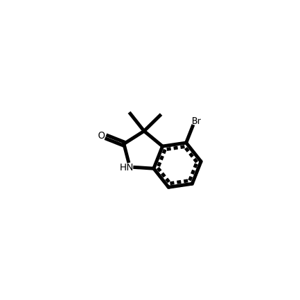 CC1(C)C(=O)Nc2cccc(Br)c21